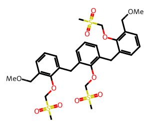 COCc1cccc(Cc2cccc(Cc3cccc(COC)c3OCS(C)(=O)=O)c2OCS(C)(=O)=O)c1OCS(C)(=O)=O